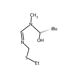 CCSC/N=C\N(C)C(O)[C@@H](C)CC